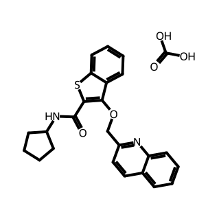 O=C(NC1CCCC1)c1sc2ccccc2c1OCc1ccc2ccccc2n1.O=C(O)O